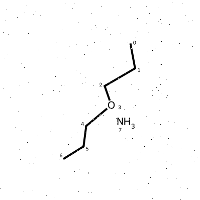 CCCOCCC.N